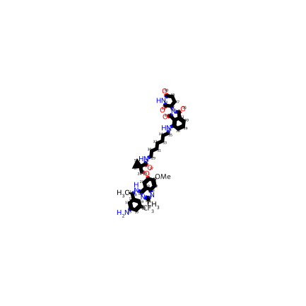 COc1cc2nc(C)nc(N[C@H](C)c3cc(N)cc(C(F)(F)F)c3)c2cc1OCC1(C(=O)NCCCCCCCNc2cccc3c2C(=O)N(C2CCC(=O)NC2=O)C3=O)CC1